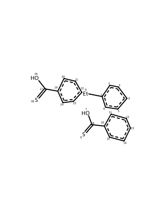 CCc1ccccc1.OC(=S)c1ccccc1.OC(=S)c1ccccc1